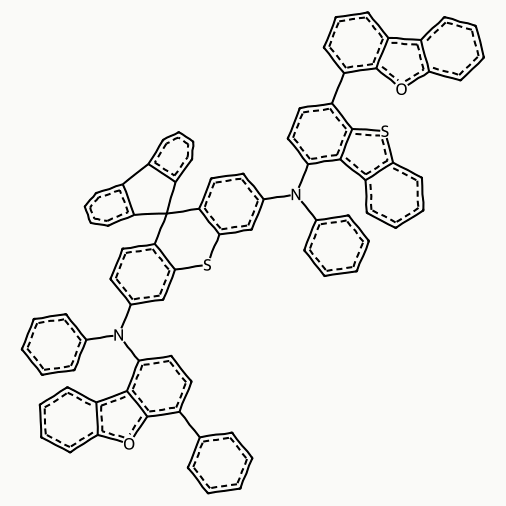 c1ccc(-c2ccc(N(c3ccccc3)c3ccc4c(c3)Sc3cc(N(c5ccccc5)c5ccc(-c6cccc7c6oc6ccccc67)c6sc7ccccc7c56)ccc3C43c4ccccc4-c4ccccc43)c3c2oc2ccccc23)cc1